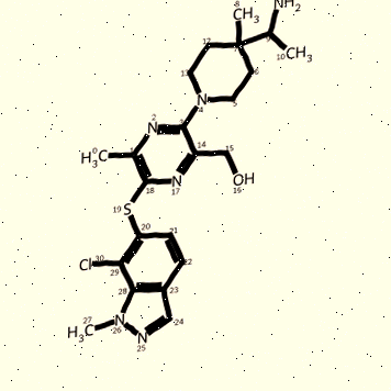 Cc1nc(N2CCC(C)(C(C)N)CC2)c(CO)nc1Sc1ccc2cnn(C)c2c1Cl